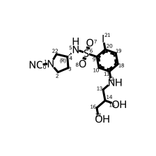 N#CN1CC[C@@H](NS(=O)(=O)c2cc(NCC(O)CO)ccc2I)C1